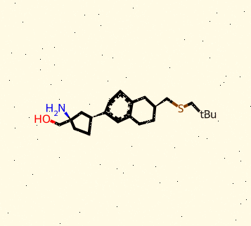 CC(C)(C)CSC[C@H]1CCc2cc([C@H]3CC[C@](N)(CO)C3)ccc2C1